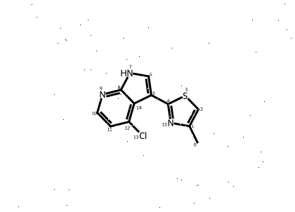 Cc1csc(-c2c[nH]c3nccc(Cl)c23)n1